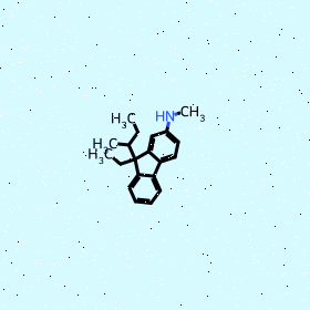 CCC(C)C1(CC)c2ccccc2-c2ccc(NC)cc21